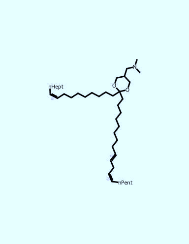 CCCCC/C=C\C/C=C/CCCCCCCCC1(CCCCCCCC/C=C\CCCCCCC)OCC(CN(C)C)CO1